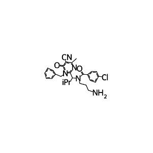 Cc1nc(C(C(C)C)N(CCCN)C(=O)c2ccc(Cl)cc2)n(Cc2ccccc2)c(=O)c1C#N